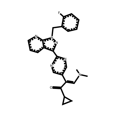 CN(C)/C=C(/C(=O)C1CC1)c1cnc(-c2nn(Cc3ccccc3F)c3ncccc23)nc1